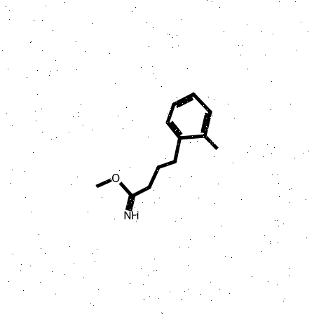 COC(=N)CCCc1ccccc1C